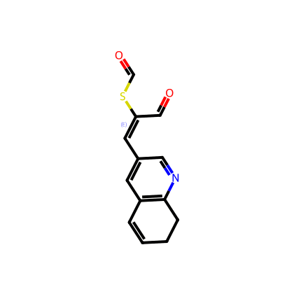 O=CS/C(C=O)=C/c1cnc2c(c1)C=CCC2